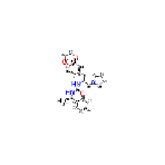 CC(NC(=O)NC(Cc1ccc2c(c1)OCCO2)CN1CCCC1)c1ccccc1